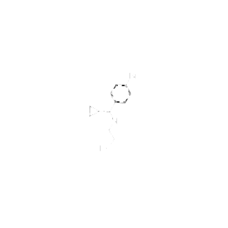 CCCNC(c1ccc(Br)cc1)C1CC1